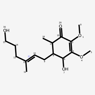 COC1=C(OC)C(O)C(C/C=C(\C)CCCO)C(C)C1=O